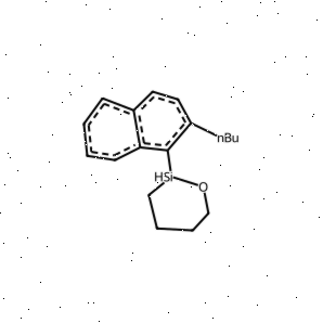 CCCCc1ccc2ccccc2c1[SiH]1CCCCO1